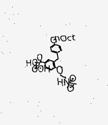 CCCCCCCCOc1ccc(Cc2cc(C(=O)P(=O)(O)O)ccc2OCCNS(C)(=O)=O)cc1